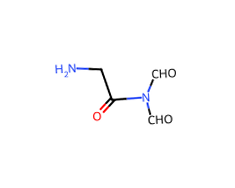 NCC(=O)N(C=O)C=O